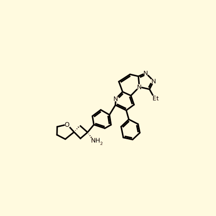 CCc1nnc2ccc3nc(-c4ccc([C@]5(N)C[C@@]6(CCCO6)C5)cc4)c(-c4ccccc4)cc3n12